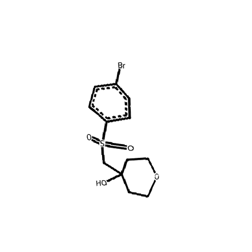 O=S(=O)(CC1(O)CCOCC1)c1ccc(Br)cc1